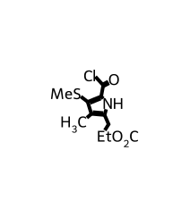 CCOC(=O)Cc1[nH]c(C(=O)Cl)c(SC)c1C